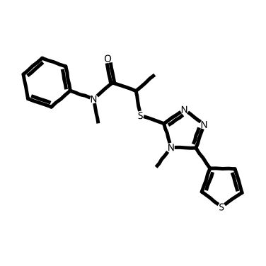 CC(Sc1nnc(-c2ccsc2)n1C)C(=O)N(C)c1ccccc1